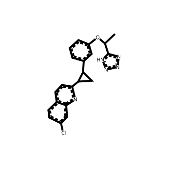 CC(Oc1cccc(C2CC2c2ccc3ccc(Cl)cc3n2)c1)c1nnn[nH]1